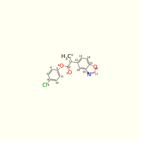 CC(C(=O)Oc1ccc(Cl)cc1)c1ccc2ocnc2c1